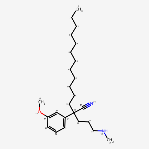 CCCCCCCCCCCCC(C#N)(CCCNC)c1cccc(OC)c1